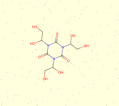 O=c1n(C(O)CO)c(=O)n(C(O)CO)c(=O)n1C(O)CO